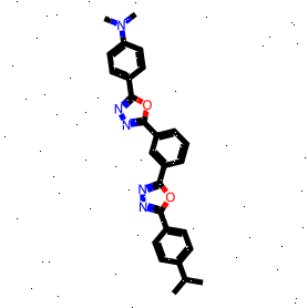 CC(C)c1ccc(-c2nnc(-c3cccc(-c4nnc(-c5ccc(N(C)C)cc5)o4)c3)o2)cc1